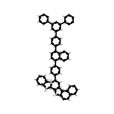 c1ccc(-c2cc(-c3ccccc3)cc(-c3ccc(-c4ccc(-c5ccc(-c6cc7c(sc8ccc9ccccc9c87)c7nc8ccccc8n67)cc5)c5ccccc45)cc3)c2)cc1